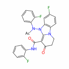 CC(=O)N(c1ccccc1F)N1C2=C(C(=O)Nc3ccccc3F)C(=O)CCN2c2ccc(F)cc21